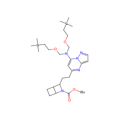 CC(C)(C)OC(=O)N1C(CCc2cc(N(COCC[Si](C)(C)C)COCC[Si](C)(C)C)n3nccc3n2)C2CCC21